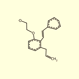 C=CCc1cccc(OCC[O])c1C=Cc1ccccc1